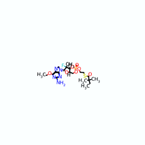 CCOc1nc(N)nc2c1ncn2[C@@H]1O[C@@H]2COP(=O)(OCCSC(=O)C(C)(C)CC)O[C@H]2[C@@]1(C)F